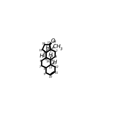 C[C@]12CC[C@H]3[C@@H](CCC4CC=CC[C@@H]43)[C@@H]1CCC2=O